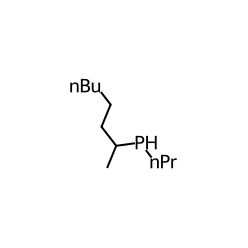 CCCCCCC(C)PCCC